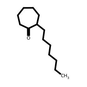 CCCCCCCC1CCCCCC1=O